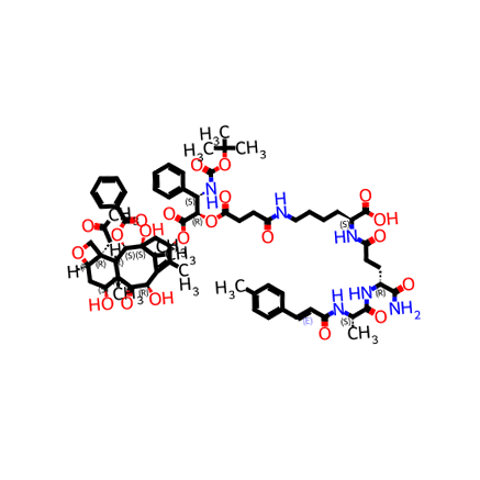 CC(=O)C[C@@]12CO[C@@H]1C[C@H](O)[C@@]1(C)C(=O)[C@H](O)C3=C(C)[C@@H](OC(=O)[C@H](OC(=O)CCC(=O)NCCCC[C@H](NC(=O)CC[C@@H](NC(=O)[C@H](C)NC(=O)/C=C/c4ccc(C)cc4)C(N)=O)C(=O)O)[C@@H](NC(=O)OC(C)(C)C)c4ccccc4)C[C@@](O)([C@@H](OC(=O)c4ccccc4)[C@H]21)C3(C)C